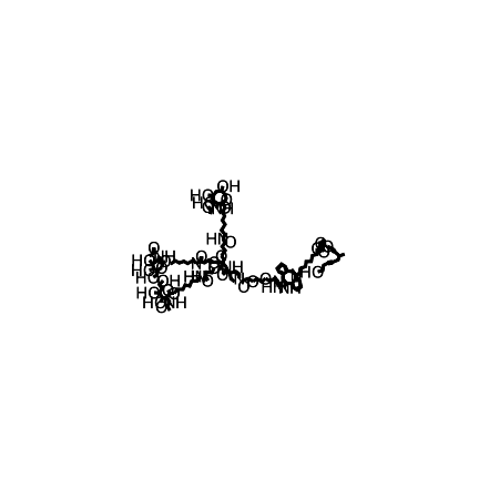 COP(=O)(OC#CC(C)CC#CCCO)OCCCCCCCN1Cc2ccccc2C2=C(NNN2CCOCCOCC(=O)N2CCC(C(=O)NC(COCCC(=O)NCCCCCCOC3OCC(O)CC(O)C(O)C3NC(C)=O)(COCCC(=O)NCCCCCCOC3OC(CO)C(O)C(O)C3NC(C)=O)COCCC(=O)NCCCCCCOC3OC(CO)C(O)C(O)C3NC(C)=O)CC2)c2ccccc21